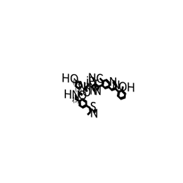 Cc1ncsc1-c1ccc([C@H](C)NC(=O)[C@@H]2C[C@@H](O)CN2C(=O)[C@H](C(C)C)n2cc(-c3cc4cc(-c5ccccc5O)nnc4cc3C#N)nn2)cc1